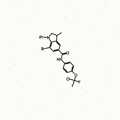 CC1CN(C(C)C)c2c(Br)cc(C(=O)Nc3ccc(OC(F)(F)Cl)cc3)cc21